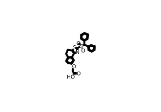 O=C(O)COc1ccc2c(c1)-c1nc(S(=O)(=O)C(c3ccccc3)c3ccccc3)sc1CC2